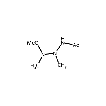 CON(C)N(C)NC(C)=O